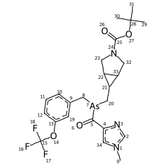 Cn1cnc(C(=O)[As](Cc2cccc(OC(F)(F)F)c2)CC2C3CN(C(=O)OC(C)(C)C)CC32)c1